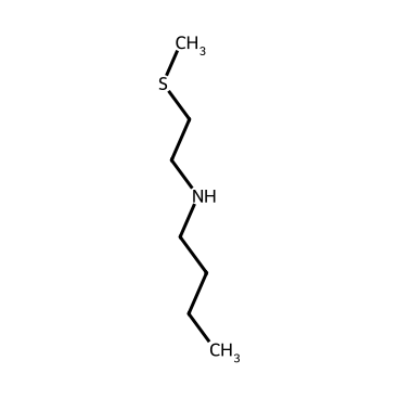 CCCCNCCSC